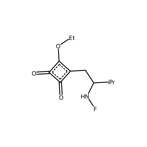 CCOc1c(CC(NF)C(C)C)c(=O)c1=O